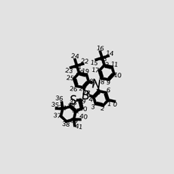 Cc1ccc2c(c1)N(c1cccc(C(C)(C)C)c1)c1cc(C(C)(C)C)ccc1B2c1cc2c(s1)C(C)(C)CCC2(C)C